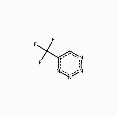 FC(F)(F)c1cnnnn1